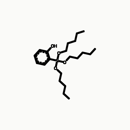 CCCCCO[Si](OCCCCC)(OCCCCC)c1ccccc1O